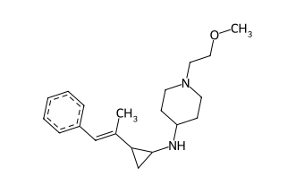 COCCN1CCC(NC2CC2/C(C)=C/c2ccccc2)CC1